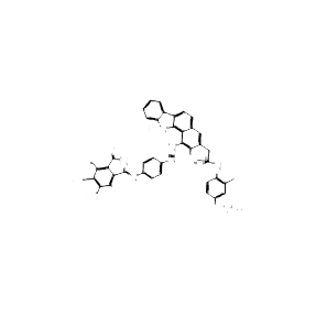 COc1ccc(NC(=O)Cc2cc3ccc4c5ccccc5[nH]c4c3c(N=Nc3ccc(N=C4NC(=O)c5c(Cl)c(Cl)c(Cl)c(Cl)c54)cc3)c2O)c(C)c1